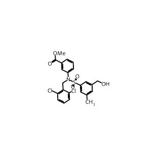 COC(=O)c1cccc(N(Cc2c(Cl)cccc2Cl)S(=O)(=O)c2cc(C)cc(CO)c2)c1